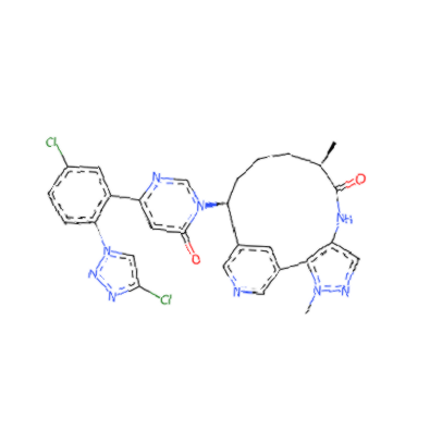 C[C@@H]1CCC[C@H](n2cnc(-c3cc(Cl)ccc3-n3cc(Cl)nn3)cc2=O)c2cncc(c2)-c2c(cnn2C)NC1=O